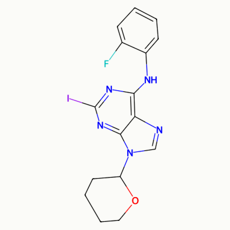 Fc1ccccc1Nc1nc(I)nc2c1ncn2C1CCCCO1